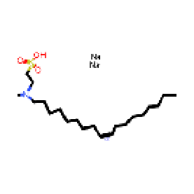 CCCCCCCC/C=C\CCCCCCCCN(C)CCS(=O)(=O)O.[Na].[Na]